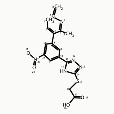 C=N/N=C(C)\C(=C/C)c1cc(-c2nnc(SCC(=O)O)[nH]2)cc([N+](=O)[O-])c1